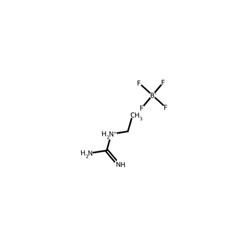 CC[NH2+]C(=N)N.F[B-](F)(F)F